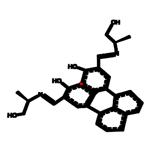 Cc1cc(O)c(/C=N/[C@H](C)CO)cc1-c1cccc2cccc(-c3cc(/C=N/[C@H](C)CO)c(O)cc3C)c12